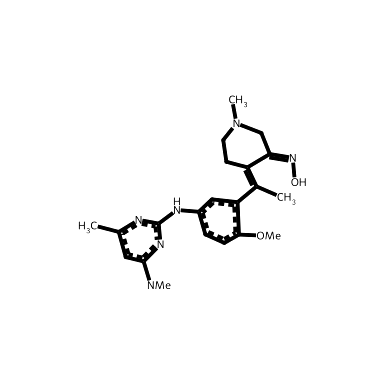 CNc1cc(C)nc(Nc2ccc(OC)c(/C(C)=C3\CCN(C)C\C3=N\O)c2)n1